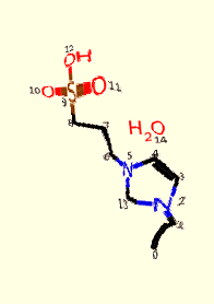 C=CN1C=CN(CCCS(=O)(=O)O)C1.O